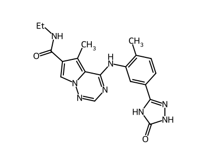 CCNC(=O)c1cn2ncnc(Nc3cc(-c4n[nH]c(=O)[nH]4)ccc3C)c2c1C